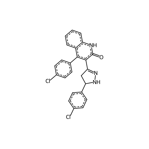 O=c1[nH]c2ccccc2c(-c2ccc(Cl)cc2)c1C1=NNC(c2ccc(Cl)cc2)C1